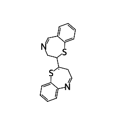 C1=NCC([C]2CC=Nc3ccccc3S2)Sc2ccccc21